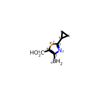 Bc1nc(C2CC2)sc1C(=O)O